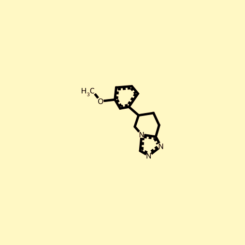 COc1cccc(C2CCc3nncn3C2)c1